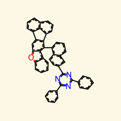 c1ccc(-c2nc(-c3ccccc3)nc(-c3ccc4c(-c5c6c(cc7oc8ccccc8c57)-c5cccc7cccc-6c57)cccc4c3)n2)cc1